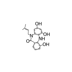 CC(C)=CCN1C(=O)c2cccc(O)c2Nc2c(O)cc(O)cc21